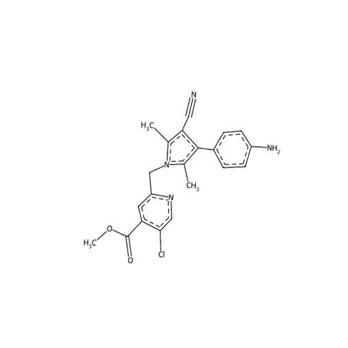 COC(=O)c1cc(Cn2c(C)c(C#N)c(-c3ccc(N)cc3)c2C)ncc1Cl